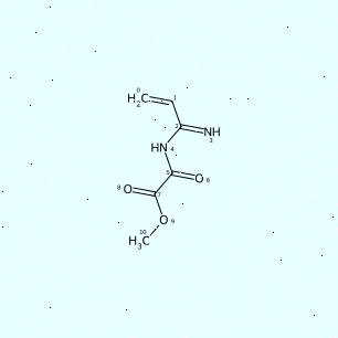 C=CC(=N)NC(=O)C(=O)OC